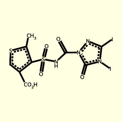 Cc1scc(C(=O)O)c1S(=O)(=O)NC(=O)n1nc(I)n(I)c1=O